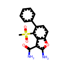 CS(=O)(=O)c1c(-c2ccccc2)ccc2oc(N)c(C(N)=O)c12